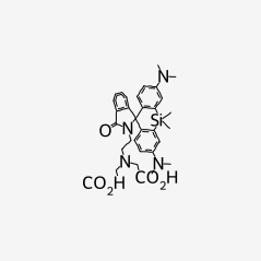 CN(C)c1ccc2c(c1)[Si](C)(C)c1cc(N(C)C)ccc1C21c2ccccc2C(=O)N1CCN(CC(=O)O)CC(=O)O